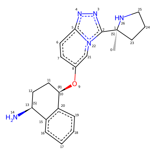 C[C@@]1(c2nnc3ccc(O[C@@H]4CC[C@H](N)c5ccccc54)cn23)CCCN1